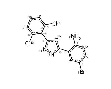 Nc1ncc(Br)cc1-c1nnc(-c2c(Cl)cccc2Cl)o1